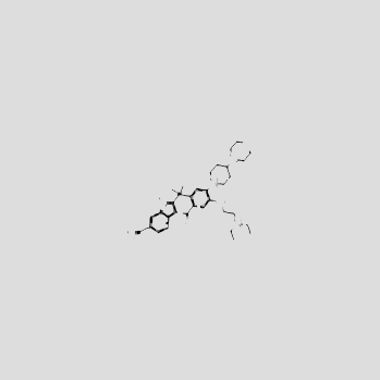 CCN(CC)CCOc1cc2c(cc1N1CCC(N3CCOCC3)CC1)C(C)(C)c1[nH]c3cc(C#N)ccc3c1C2=O